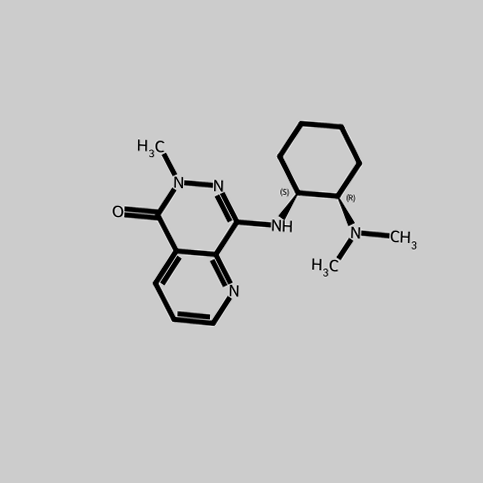 CN(C)[C@@H]1CCCC[C@@H]1Nc1nn(C)c(=O)c2cccnc12